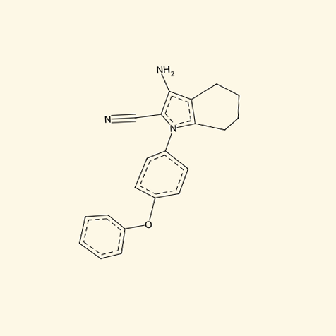 N#Cc1c(N)c2c(n1-c1ccc(Oc3ccccc3)cc1)CCCC2